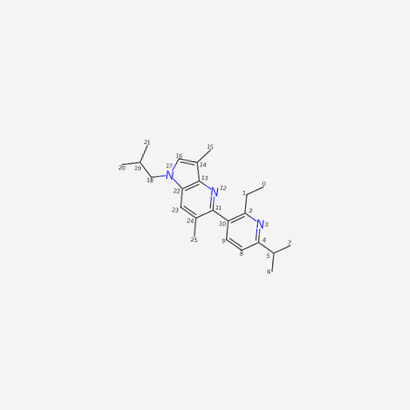 CCc1nc(C(C)C)ccc1-c1nc2c(C)cn(CC(C)C)c2cc1C